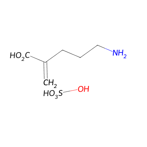 C=C(CCCN)C(=O)O.O=S(=O)(O)O